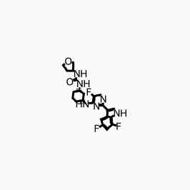 O=C(NC1CCOC1)N[C@@H]1CCC[C@H](Nc2nc(-c3c[nH]c4c(F)cc(F)cc34)ncc2F)C1